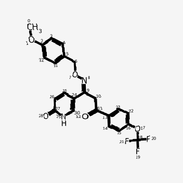 COc1ccc(CON=C(CC(=O)c2ccc(OC(F)(F)F)cc2)c2ccc(=O)[nH]c2)cc1